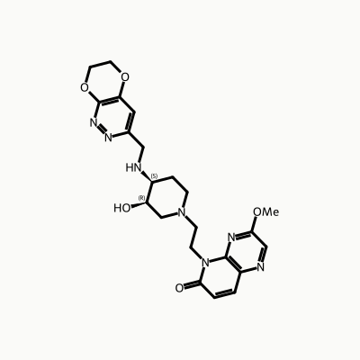 COc1cnc2ccc(=O)n(CCN3CC[C@H](NCc4cc5c(nn4)OCCO5)[C@H](O)C3)c2n1